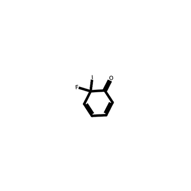 O=C1C=CC=CC1(F)I